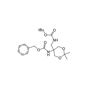 CC(C)(C)OC(=O)NCC1(NC(=O)OCc2ccccc2)COC(C)(C)OC1